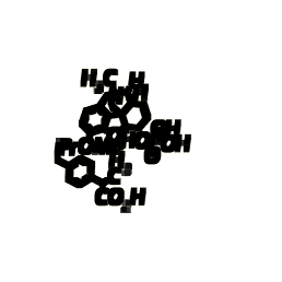 CC(C)Cc1ccc(C(C)C(=O)O)cc1.COc1ccc2c3c1O[C@H]1[C@@H](OP(=O)(O)O)C=C[C@H]4[C@@H](C2)N(C)CC[C@@]341